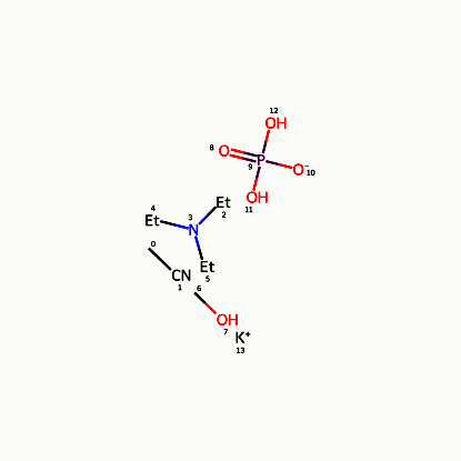 CC#N.CCN(CC)CC.CO.O=P([O-])(O)O.[K+]